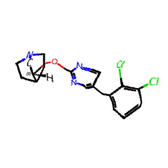 Clc1cccc(-c2cnc(O[C@H]3CN4CCC3CC4)nc2)c1Cl